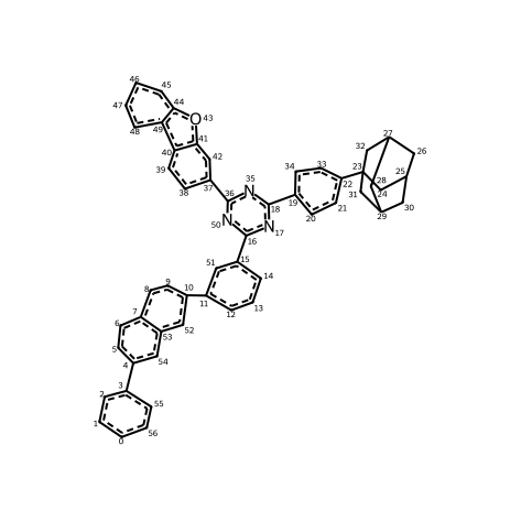 c1ccc(-c2ccc3ccc(-c4cccc(-c5nc(-c6ccc(C78CC9CC(CC(C9)C7)C8)cc6)nc(-c6ccc7c(c6)oc6ccccc67)n5)c4)cc3c2)cc1